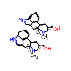 CN1C[C@H](CO)C=C2c3cccc4[nH]cc(c34)C[C@H]21.CN1C[C@H](CO)C=C2c3cccc4[nH]cc(c34)C[C@H]21